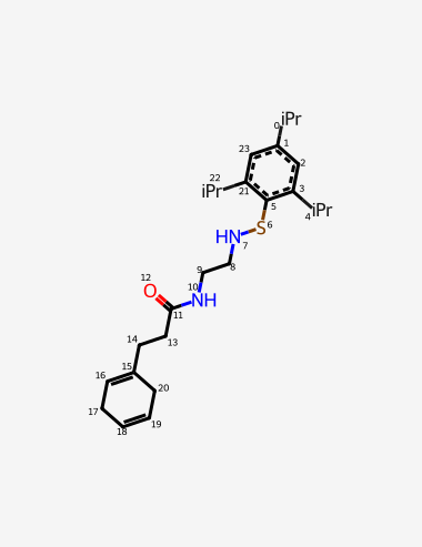 CC(C)c1cc(C(C)C)c(SNCCNC(=O)CCC2=CCC=CC2)c(C(C)C)c1